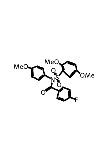 COc1ccc(N(C(=O)c2ccc(F)cc2)S(=O)(=O)c2cc(OC)ccc2OC)cc1